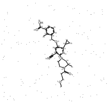 COCCC(=O)N1CCN(c2nc(C3CC3)c(OCc3cccc(C(=O)O)c3C)cc2C#N)CC1C